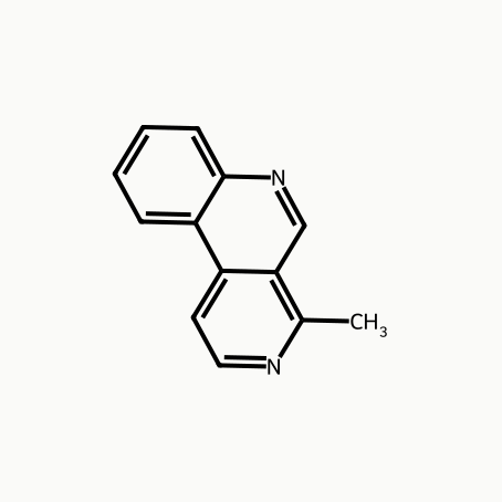 Cc1nccc2c1cnc1ccccc12